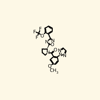 COc1ccc(-n2nccn2)c(C(=O)N2CCC[C@H]2c2nc(-c3ccccc3OC(F)(F)F)no2)c1